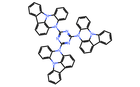 c1ccc2c(c1)N(c1nc(N3c4ccccc4-n4c5ccccc5c5cccc3c54)nc(N3c4ccccc4-n4c5ccccc5c5cccc3c54)n1)c1cccc3c4ccccc4n-2c13